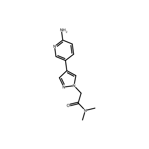 CN(C)C(=O)Cn1cc(-c2ccc(N)nc2)cn1